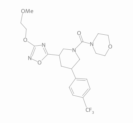 COCCOc1noc(C2CC(c3ccc(C(F)(F)F)cc3)CN(C(=O)N3CCOCC3)C2)n1